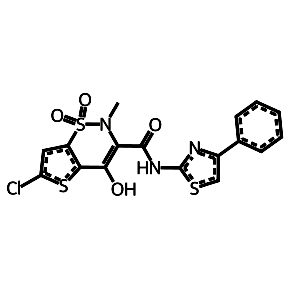 CN1C(C(=O)Nc2nc(-c3ccccc3)cs2)=C(O)c2sc(Cl)cc2S1(=O)=O